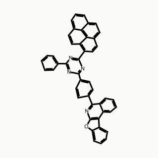 c1ccc(-c2nc(-c3ccc(-c4nc5oc6ccccc6c5c5ccccc45)cc3)nc(-c3ccc4ccc5cccc6ccc3c4c56)n2)cc1